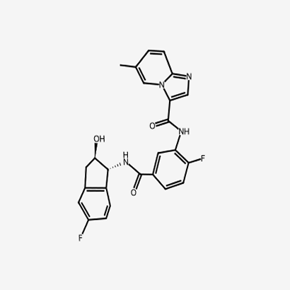 Cc1ccc2ncc(C(=O)Nc3cc(C(=O)N[C@@H]4c5ccc(F)cc5C[C@H]4O)ccc3F)n2c1